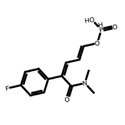 CN(C)C(=O)/C(=C\C=C\O[PH](=O)O)c1ccc(F)cc1